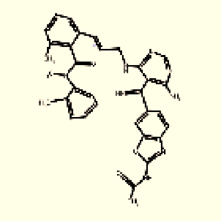 CC(=O)Nc1nc2ccc(C(=N)c3c(N)ncnc3NC/C=C/c3cccc(C)c3C(=O)N(C)c3ccccc3C)cc2o1